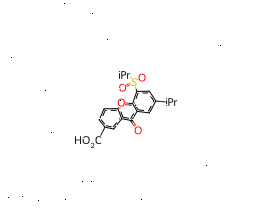 CC(C)c1cc(S(=O)(=O)C(C)C)c2oc3ccc(C(=O)O)cc3c(=O)c2c1